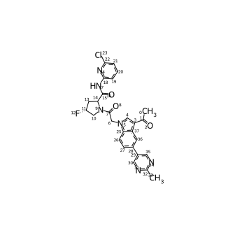 CC(=O)c1cn(CC(=O)N2C[C@H](F)CC2C(=O)Nc2cccc(Cl)n2)c2ccc(-c3cnc(C)nc3)cc12